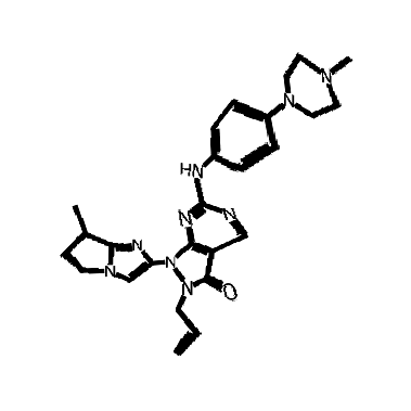 C=CCn1c(=O)c2cnc(Nc3ccc(N4CCN(C)CC4)cc3)nc2n1-c1cn2c(n1)C(C)CC2